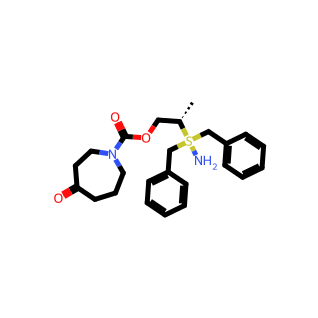 C[C@@H](COC(=O)N1CCCC(=O)CC1)S(N)(Cc1ccccc1)Cc1ccccc1